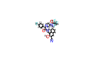 COc1c(C#N)cc2ccccc2c1CN(C)C(=O)C(c1ccc(F)cc1)N1CC[C@H](N(C)C(=O)C(F)(F)F)C1